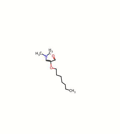 CCCCCCCOC(C=O)=CN(C)C